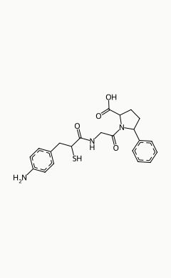 Nc1ccc(CC(S)C(=O)NCC(=O)N2C(C(=O)O)CCC2c2ccccc2)cc1